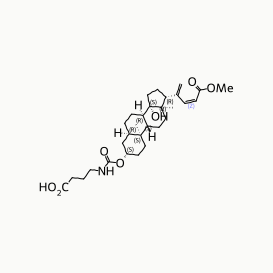 C=C(/C=C\C(=O)OC)[C@H]1CC[C@]2(O)[C@@H]3CC[C@@H]4C[C@@H](OC(=O)NCCCC(=O)O)CC[C@]4(C)[C@H]3CC[C@]12C